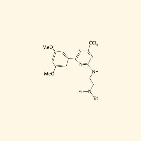 CCN(CC)CCNc1nc(-c2cc(OC)cc(OC)c2)nc(C(Cl)(Cl)Cl)n1